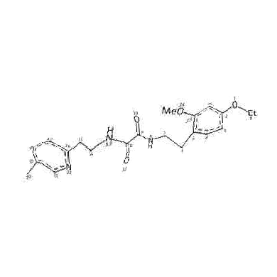 CCOc1ccc(CCNC(=O)C(=O)NCCc2ccc(C)cn2)c(OC)c1